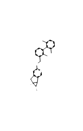 Cc1cccc(C)c1-c1cccc(COc2cc3c(cn2)C2[C@@H](C)[C@@H]2C3)c1C